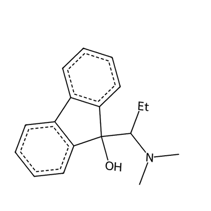 CCC(N(C)C)C1(O)c2ccccc2-c2ccccc21